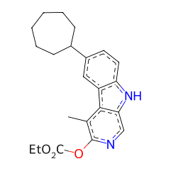 CCOC(=O)Oc1ncc2[nH]c3ccc(C4CCCCCC4)cc3c2c1C